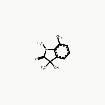 Cc1cccc2c1N(C)C(=O)C2(O)C(F)(F)F